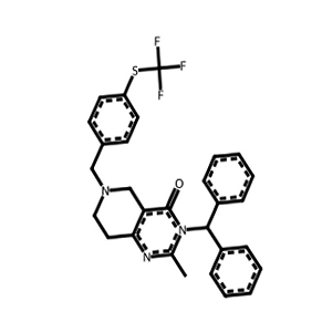 Cc1nc2c(c(=O)n1C(c1ccccc1)c1ccccc1)CN(Cc1ccc(SC(F)(F)F)cc1)CC2